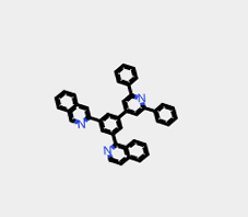 c1ccc(-c2cc(-c3cc(-c4cc5ccccc5cn4)cc(-c4nccc5ccccc45)c3)cc(-c3ccccc3)n2)cc1